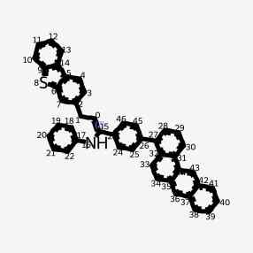 C(/Cc1ccc2c(c1)sc1ccccc12)=C(/Nc1ccccc1)c1ccc(-c2cccc3c2ccc2cc4ccccc4cc23)cc1